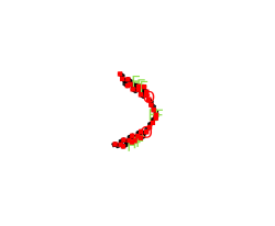 CCCC1CCC(c2ccc(-c3ccc(OCCCCCCC(F)(F)CCCCCCOc4ccc(-c5ccc(C6CCC(CCC)CC6)c(F)c5F)c(F)c4)cc3F)c(F)c2F)CC1